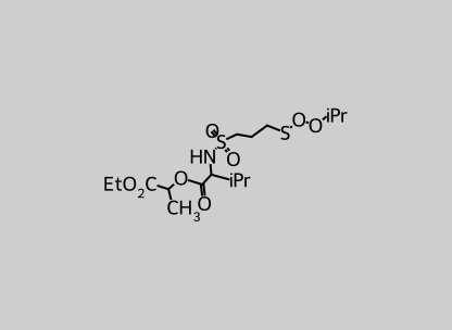 CCOC(=O)C(C)OC(=O)C(NS(=O)(=O)CCCSOOC(C)C)C(C)C